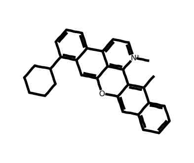 Cc1c2c(cc3ccccc13)Oc1cc3c(C4CCCCC4)cccc3c3cc[n+](C)c-2c13